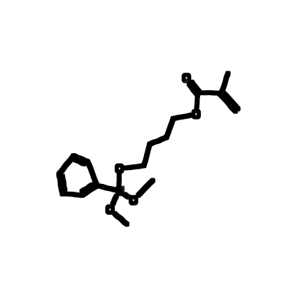 C=C(C)C(=O)OCCCCO[Si](OC)(OC)c1ccccc1